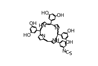 Oc1cc(O)cc(-c2c3nc(cc4cc(-c5cccc(N=C=S)c5)c([nH]4)c(-c4cc(O)cc(O)c4)c4nc(c(-c5cc(O)cc(O)c5)c5ccc2[nH]5)C=C4)C=C3)c1